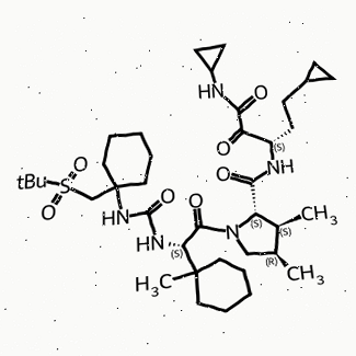 C[C@@H]1[C@@H](C(=O)N[C@@H](CCC2CC2)C(=O)C(=O)NC2CC2)N(C(=O)[C@@H](NC(=O)NC2(CS(=O)(=O)C(C)(C)C)CCCCC2)C2(C)CCCCC2)C[C@@H]1C